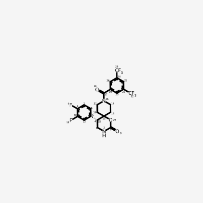 O=C1NC[C@H](c2ccc(F)c(F)c2)C2(CCN(C(=O)c3cc(C(F)(F)F)cc(C(F)(F)F)c3)CC2)O1